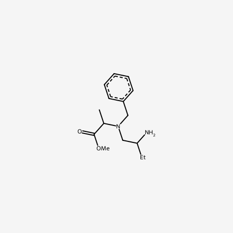 CCC(N)CN(Cc1ccccc1)C(C)C(=O)OC